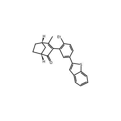 CCc1ccc(-c2cc3ccccc3s2)cc1C1=C(C)[C@H]2CC[C@H](C2)C1=O